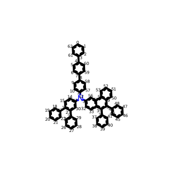 c1ccc(-c2ccc(-c3ccc(N(c4ccc(-c5ccccc5)c(-c5ccccc5)c4)c4ccc5c(-c6ccccc6)c(-c6ccccc6)c6ccccc6c5c4)cc3)cc2)cc1